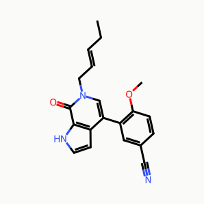 CC/C=C/Cn1cc(-c2cc(C#N)ccc2OC)c2cc[nH]c2c1=O